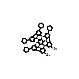 CC(C)(C)c1cc2c3c(c1)c1cc(C4CCCCC4)cc4c1n3-c1c3c5c6c7c1B2c1cc(C(C)(C)C)cc2c8cc(C9CCCCC9)cc(c8n-7c12)B6c1cc(C2CCCCC2)cc2c6cc(C7CCCCC7)cc(c6n-5c12)B34